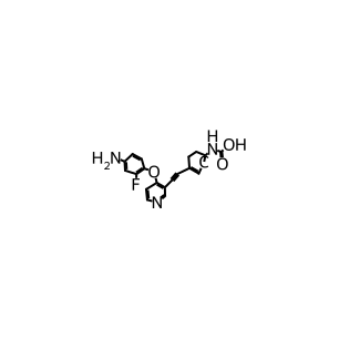 Nc1ccc(Oc2ccncc2C#CC2=CCC(NC(=O)O)CC2)c(F)c1